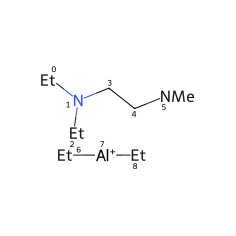 CCN(CC)CC[N-]C.C[CH2][Al+][CH2]C